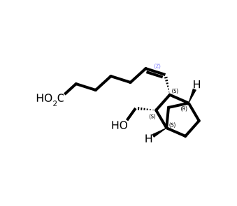 O=C(O)CCCC/C=C\[C@@H]1[C@@H]2CC[C@@H](C2)[C@@H]1CO